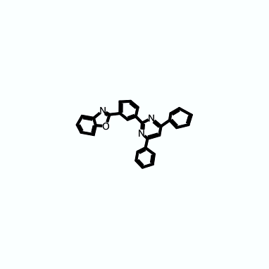 c1ccc(-c2cc(-c3ccccc3)nc(-c3cccc(-c4nc5ccccc5o4)c3)n2)cc1